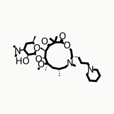 CO[C@]1(C)C[C@@H](C)CN(C)[C@@H](CCCN2CCCCC2)COC(=O)C(C)(C)C(=O)[C@H](C)[C@H]1O[C@@H]1O[C@H](C)C[C@H](N(C)C)[C@H]1O